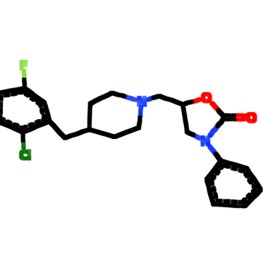 O=C1OC(CN2CCC(Cc3cc(F)ccc3Cl)CC2)CN1c1ccccc1